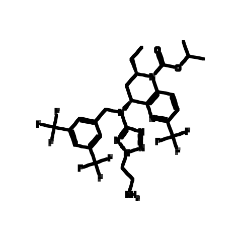 CC[C@@H]1C[C@H](N(Cc2cc(C(F)(F)F)cc(C(F)(F)F)c2)c2nnn(CCN)n2)c2nc(C(F)(F)F)ccc2N1C(=O)OC(C)C